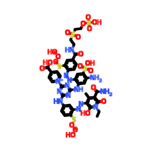 CCn1c(O)c(N=Nc2cc(Nc3nc(Nc4cc(N)c(S(=O)(=O)O)cc4N=Nc4ccc(C(=O)NCCS(=O)(=O)CCOS(=O)(=O)O)cc4SOOO)nc(-[n+]4ccc(C(=O)O)cc4)n3)ccc2SOOO)c(C)c(C(N)=O)c1=O